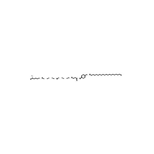 BNC(CCCCNC(=O)COCCOCCNC(=O)COCCOCCNC(=O)CCC(NC(=O)C1CCC(CNC(=O)CCCCCCCCCCCCCCCCCCC(=O)O)CC1)C(=O)O)C(=O)O